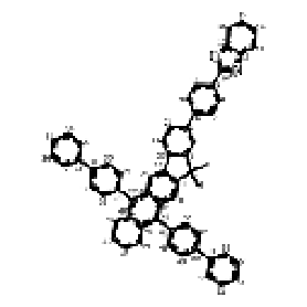 CC1(C)c2cc(-c3ccc(-c4nc5ccccc5o4)cc3)ccc2-c2cc3c(-c4ccc(-c5ccccc5)cc4)c4ccccc4c(-c4ccc(-c5ccccc5)cc4)c3cc21